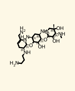 CN[C@@H]1[C@@H](O)[C@@H](O[C@H]2[C@H](N)C[C@H](N)C(O[C@H]3OC(CN)=CC[C@H]3NCCCN)[C@@H]2O)OC[C@]1(C)O